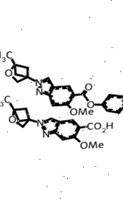 COc1cc2nn(C34COC(C)(C3)C4)cc2cc1C(=O)O.COc1cc2nn(C34COC(C)(C3)C4)cc2cc1C(=O)Oc1ccccc1